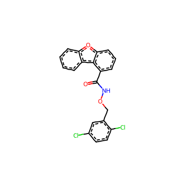 O=C(NOCc1cc(Cl)ccc1Cl)c1cccc2oc3ccccc3c12